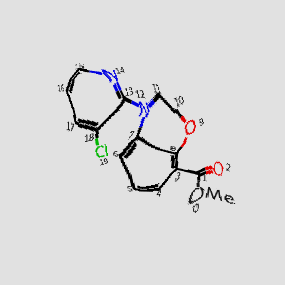 COC(=O)c1cccc2c1OCCN2c1ncccc1Cl